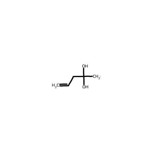 [CH2]C(O)(O)CC=C